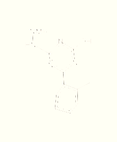 CNNc1nc(O)nc(-c2ccccc2C)n1